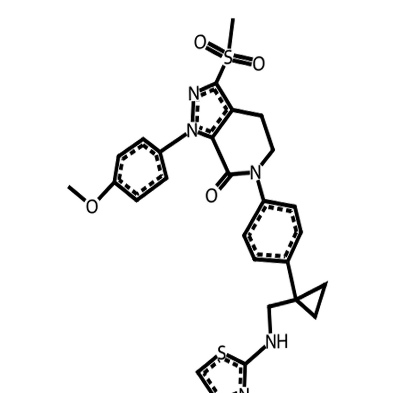 COc1ccc(-n2nc(S(C)(=O)=O)c3c2C(=O)N(c2ccc(C4(CNc5nccs5)CC4)cc2)CC3)cc1